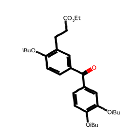 CCOC(=O)CCc1cc(C(=O)c2ccc(OCC(C)C)c(OCC(C)C)c2)ccc1OCC(C)C